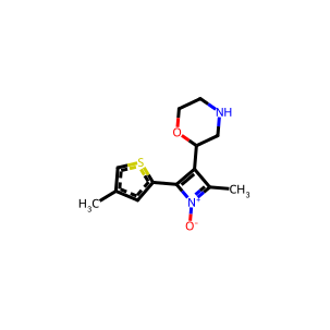 CC1=[N+]([O-])C(c2cc(C)cs2)=C1C1CNCCO1